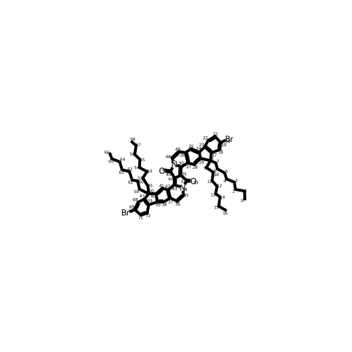 CCCCCCCCC1(CCCCCCCC)c2cc(Br)ccc2-c2cc3c(cc21)C1=C2C(=O)N4C=Cc5cc6c(cc5C4=C2C(=O)N1C=C3)C(CCCCCCCC)(CCCCCCCC)c1cc(Br)ccc1-6